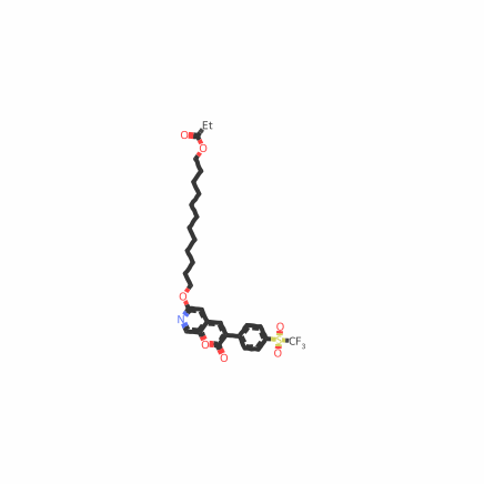 CCC(=O)OCCCCCCCCCCCCOc1cc2cc(-c3ccc(S(=O)(=O)C(F)(F)F)cc3)c(=O)oc2cn1